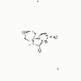 CN1C(=O)c2nc(Cl)ccc2C12CCNCC2